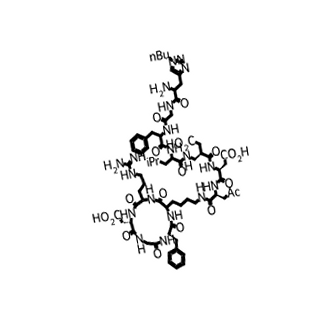 CCCCn1cc(CC(N)C(=O)NCC(=O)NC(Cc2ccccc2)C(=O)NC(CC(C)C)C(=O)NC[C@@H](CC(=O)O)C(=O)N[C@@H](CC(=O)O)C(=O)N[C@@H](CC(C)=O)C(=O)NCCCCC2NC(=O)[C@@H](Cc3ccccc3)NC(=O)CNC(=O)[C@H](CC(=O)O)NC(=O)C(CCCNC(=N)N)NC2=O)nn1